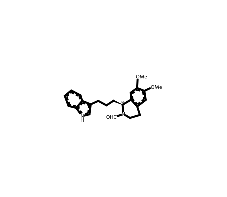 COc1cc2c(cc1OC)[C@H](CCCc1c[nH]c3ccccc13)N(C=O)CC2